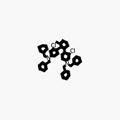 Cc1cccc(-c2ccc(N(Cc3ccccc3)Cc3ccccc3)cc2Cl)c1-c1ccc(N(Cc2ccccc2)Cc2ccccc2)cc1Cl